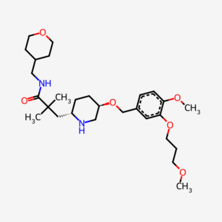 COCCCOc1cc(CO[C@@H]2CC[C@@H](CC(C)(C)C(=O)NCC3CCOCC3)NC2)ccc1OC